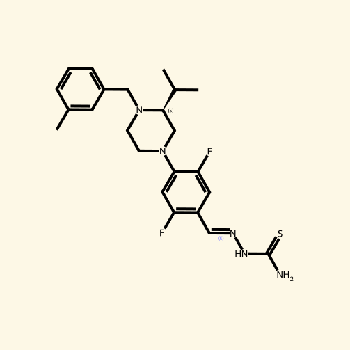 Cc1cccc(CN2CCN(c3cc(F)c(/C=N/NC(N)=S)cc3F)C[C@@H]2C(C)C)c1